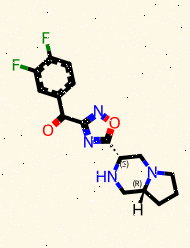 O=C(c1ccc(F)c(F)c1)c1noc([C@@H]2CN3CCC[C@@H]3CN2)n1